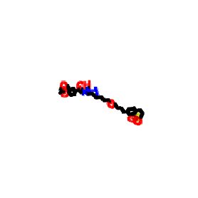 CC1(C)OCc2cc([C@@H](O)CNCCCCCCOCCCCc3ccc4c(c3)S(=O)(=O)CCC4)ccc2O1